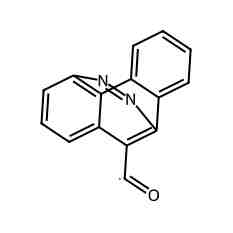 O=[C]c1c2c3ccccc3c3c(cccc13)N=N2